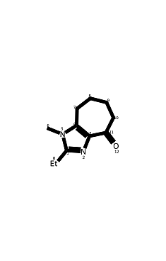 CCc1nc2c(n1C)CCCCC2=O